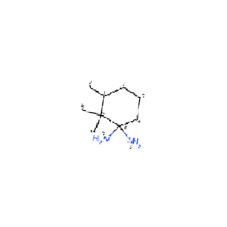 CC1CCCC(N)(N)C1(C)C